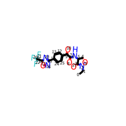 CCN1OCC(NC(=O)C(=O)c2ccc(-c3noc(C(F)(F)F)n3)cc2)C1=O